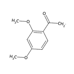 [CH2]C(=O)c1ccc(OC)cc1OC